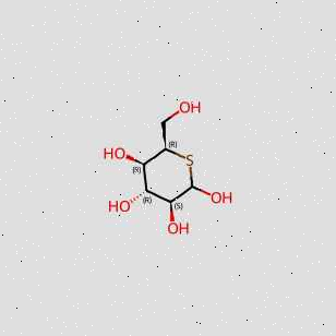 OC[C@H]1SC(O)[C@@H](O)[C@H](O)[C@H]1O